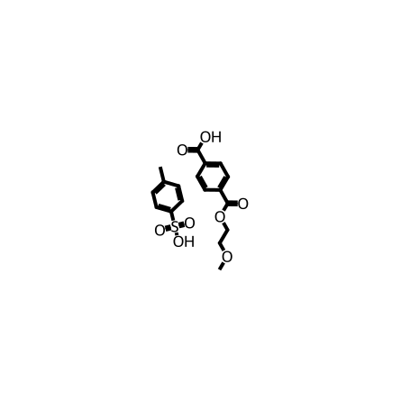 COCCOC(=O)c1ccc(C(=O)O)cc1.Cc1ccc(S(=O)(=O)O)cc1